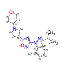 CC(C)c1nn(-c2noc(C3CCN(C4CCOCC4)C3)n2)c2c(F)cccc12